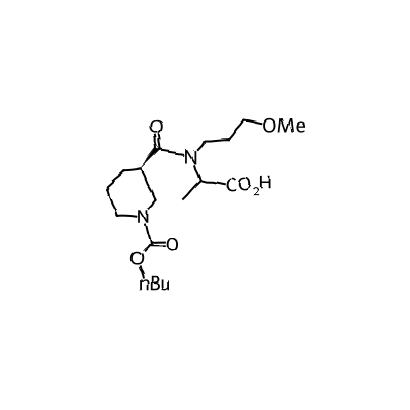 CCCCOC(=O)N1CCC[C@@H](C(=O)N(CCCOC)C(C)C(=O)O)C1